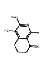 COc1nc(C)c2c(c1C#N)CCCC2=O